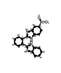 O=[N+]([O-])c1ccc2[nH]c(-c3ccccc3-c3nc4ccccc4[nH]3)nc2c1